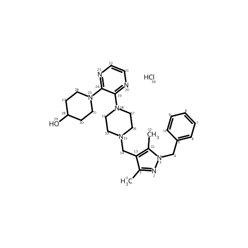 Cc1nn(Cc2ccccc2)c(C)c1CN1CCN(c2nccnc2N2CCC(O)CC2)CC1.Cl